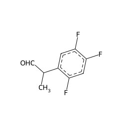 CC(C=O)c1cc(F)c(F)cc1F